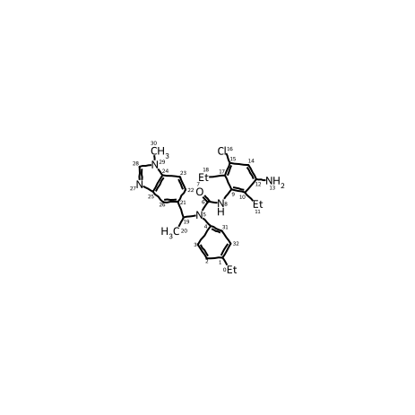 CCc1ccc(N(C(=O)Nc2c(CC)c(N)cc(Cl)c2CC)C(C)c2ccc3c(c2)ncn3C)cc1